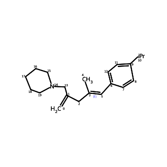 C=C(C/C(C)=C/c1ccc(C(C)C)cc1)CN1CCCCC1